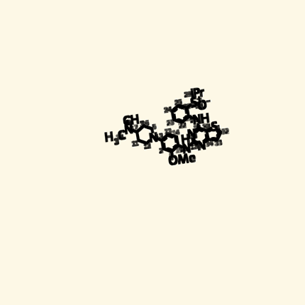 COc1cc(N2CCC(N(C)C)CC2)ccc1Nc1nc(Nc2ccccc2[S+]([O-])C(C)C)c2sccc2n1